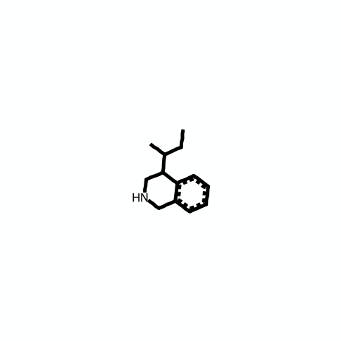 CCC(C)C1CNCc2ccccc21